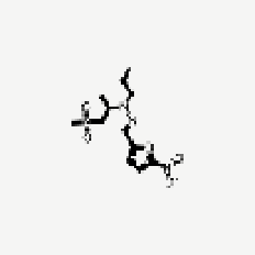 CCCN(N=Cc1ccc([N+](=O)[O-])o1)C(C)CS(C)(=O)=O